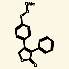 COOSc1ccc(C2=C(c3ccccc3)C(=O)OC2)cc1